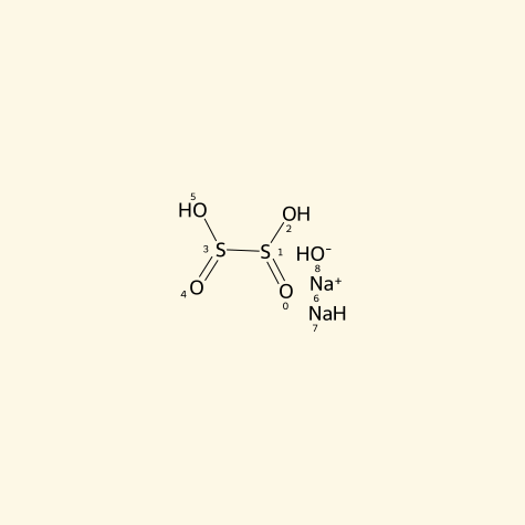 O=S(O)S(=O)O.[Na+].[NaH].[OH-]